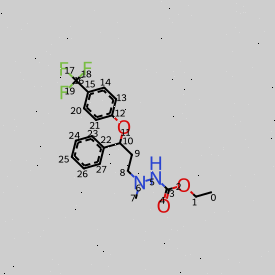 CCOC(=O)NN(C)CCC(Oc1ccc(C(F)(F)F)cc1)c1ccccc1